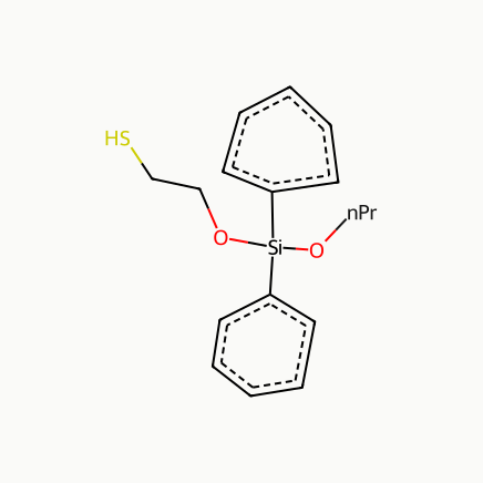 CCCO[Si](OCCS)(c1ccccc1)c1ccccc1